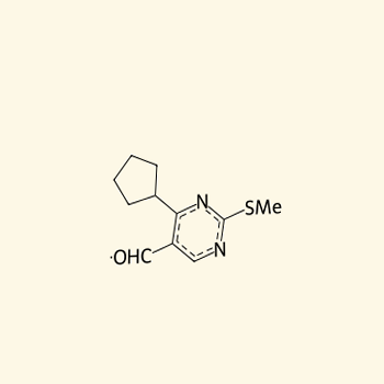 CSc1ncc([C]=O)c(C2CCCC2)n1